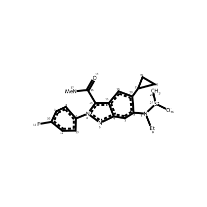 CCN(c1cc2nn(-c3ccc(F)cc3)c(C(=O)NC)c2cc1C1CC1)[S+](C)[O-]